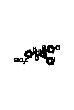 CCOC(=O)c1cccc(NC(=O)C(COc2cccnc2)NS(=O)(=O)c2ccc(Cl)cc2)c1